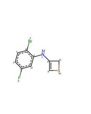 Fc1ccc(Br)c(NC2=CSC2)c1